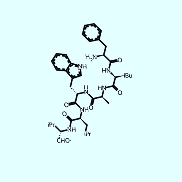 CC[C@H](C)[C@H](NC(=O)[C@@H](N)Cc1ccccc1)C(=O)N[C@@H](C)C(=O)N[C@@H](Cc1c[nH]c2ccccc12)C(=O)N[C@@H](CC(C)C)C(=O)N[C@H]([C]=O)C(C)C